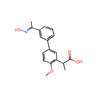 COc1ccc(-c2cccc(C(C)=NO)c2)cc1C(C)C(=O)O